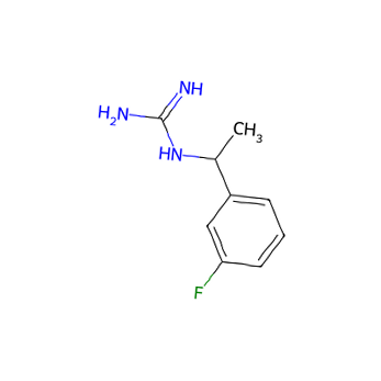 CC(NC(=N)N)c1cccc(F)c1